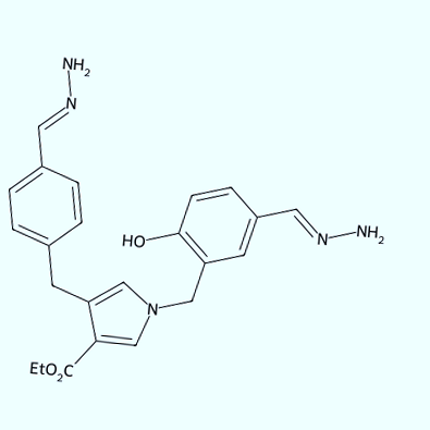 CCOC(=O)c1cn(Cc2cc(C=NN)ccc2O)cc1Cc1ccc(C=NN)cc1